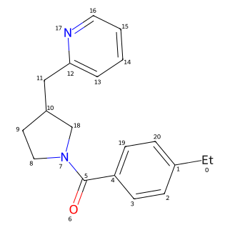 CCc1ccc(C(=O)N2CCC(Cc3ccccn3)C2)cc1